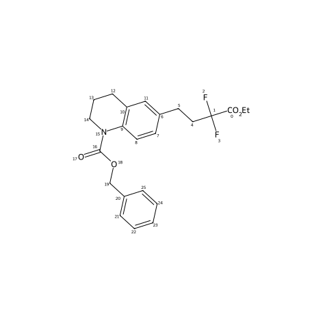 CCOC(=O)C(F)(F)CCc1ccc2c(c1)CCCN2C(=O)OCc1ccccc1